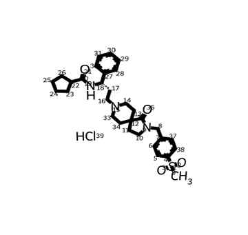 CS(=O)(=O)c1ccc(CN2CCC3(CCN(CC[C@H](NC(=O)C4CCCC4)c4ccccc4)CC3)C2=O)cc1.Cl